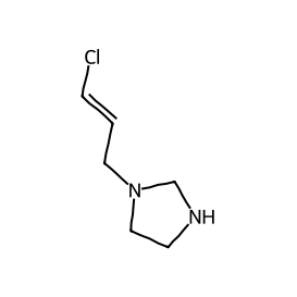 ClC=CCN1CCNC1